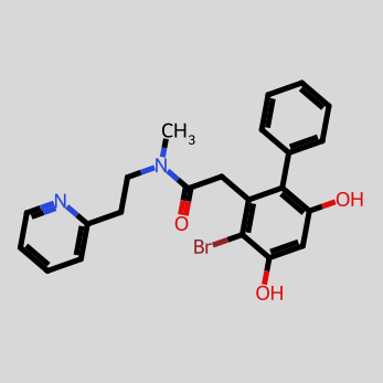 CN(CCc1ccccn1)C(=O)Cc1c(Br)c(O)cc(O)c1-c1ccccc1